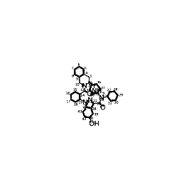 NC[C@@H]1Cc2ccccc2CN1C(=O)c1ccccc1-n1nc(C(=O)N(c2ccccc2)c2ccccc2)c2cc(O)ccc21